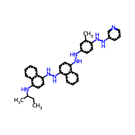 CCC(C)Nc1ccc(NNc2ccc(NNc3ccc(NNc4cccnc4)c(C)c3)c3ccccc23)c2ccccc12